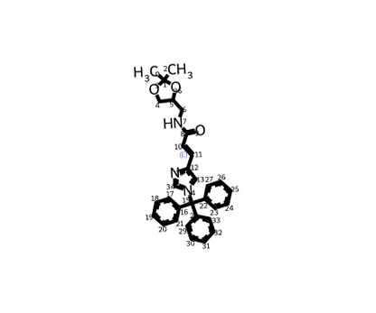 CC1(C)OCC(CNC(=O)/C=C/c2cn(C(c3ccccc3)(c3ccccc3)c3ccccc3)cn2)O1